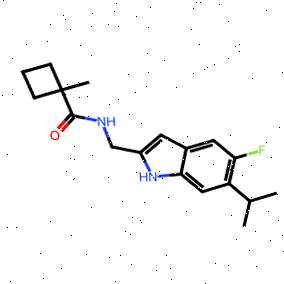 CC(C)c1cc2[nH]c(CNC(=O)C3(C)CCC3)cc2cc1F